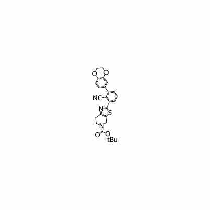 CC(C)(C)OC(=O)N1CCc2nc(-c3cccc(-c4ccc5c(c4)OCCO5)c3C#N)sc2C1